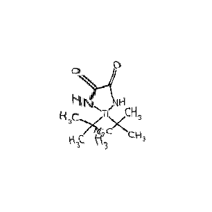 C[C](C)(C)[Ti]1([C](C)(C)C)[NH]C(=O)C(=O)[NH]1